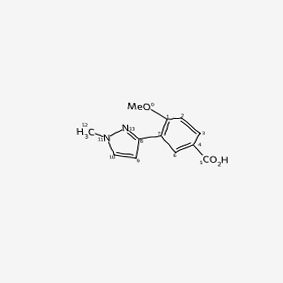 COc1ccc(C(=O)O)cc1-c1ccn(C)n1